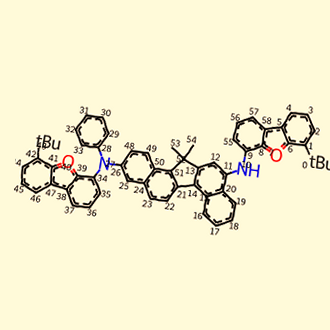 CC(C)(C)c1cccc2c1oc1c(Nc3cc4c(c5ccccc35)-c3ccc5cc(N(c6ccccc6)c6cccc7c6oc6c(C(C)(C)C)cccc67)ccc5c3C4(C)C)cccc12